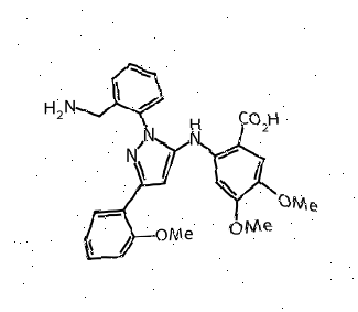 COc1cc(Nc2cc(-c3ccccc3OC)nn2-c2ccccc2CN)c(C(=O)O)cc1OC